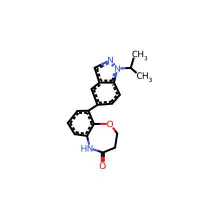 CC(C)n1ncc2cc(-c3cccc4c3OCCC(=O)N4)ccc21